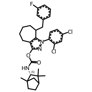 CC12CCC(C1)C(C)(C)[C@H]2NC(=O)Oc1nn(-c2ccc(Cl)cc2Cl)c2c1CCCCC2Cc1cccc(F)c1